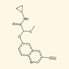 C#Cc1cnc2ccc(OC(SC)C(=O)NC3CC3)cc2c1